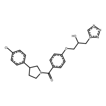 O=C(c1ccc(OCC(O)Cn2cnnn2)cc1)N1CCC(c2ccc(Cl)cc2)C1